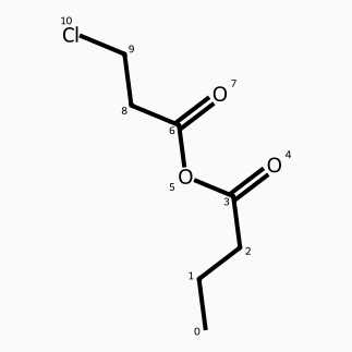 CCCC(=O)OC(=O)CCCl